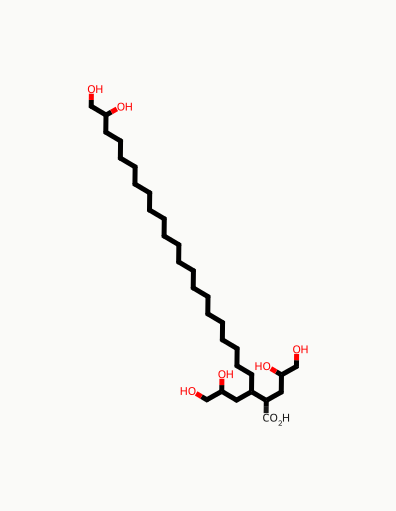 O=C(O)C(CC(O)CO)C(CCCCCCCCCCCCCCCCCCCCC(O)CO)CC(O)CO